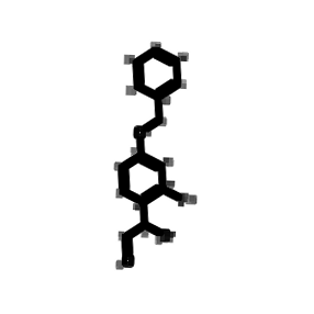 O=CC(Br)c1ccc(OCc2ccccc2)cc1F